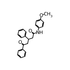 COc1ccc(NC(=O)CC(CC(=O)c2ccccc2)c2ccccc2)cc1